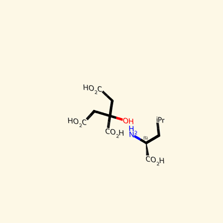 CC(C)C[C@H](N)C(=O)O.O=C(O)CC(O)(CC(=O)O)C(=O)O